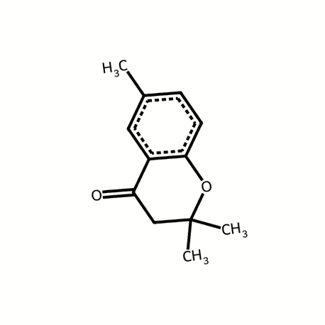 Cc1ccc2c(c1)C(=O)CC(C)(C)O2